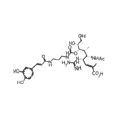 CC(=O)N[C@@H]([C@@H](C)[C@H](OC(=O)NCCCNC(=O)/C=C/c1ccc(O)c(O)c1)[C@H](O)CO)[C@H](/C=C(\C)C(=O)O)NC(=N)N